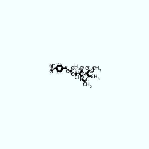 C=CC[C@@H]1[C@@H](C(C)(C)OC(=O)OCc2ccc([N+](=O)[O-])cc2)C(=O)N1C(C(=O)OC)=C(C)C